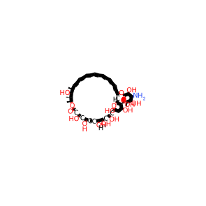 C[C@@H]1[C@H](O)[C@@H](C)/C=C/C=C/C=C/C=C/C=C/C=C/C=C/[C@H](O[C@@H]2O[C@H](C)[C@@H](O)[C@H](N)[C@@H]2O)C[C@@H]2O[C@](O)(C[C@@H](O)C[C@@H](O)[C@H](O)CC[C@@H](O)C[C@@H](O)CC(=O)O[C@H]1C)C[C@H](O)[C@H]2C(=O)O.[H+]